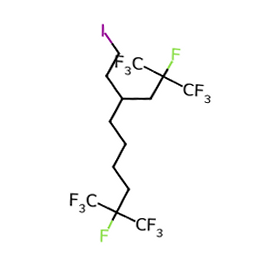 FC(F)(F)C(F)(CCCCC(CCI)CC(F)(C(F)(F)F)C(F)(F)F)C(F)(F)F